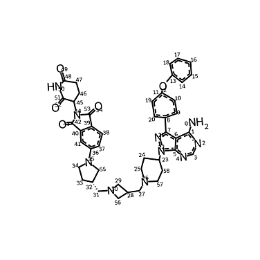 Nc1ncnc2c1c(-c1ccc(Oc3ccccc3)cc1)nn2C1CCN(CC2CN(C[C@@H]3CCN(c4ccc5c(c4)C(=O)N(C4CCC(=O)NC4=O)C5=O)C3)C2)CC1